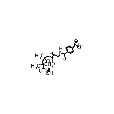 CC(C)(CNCCNC(=O)c1ccc([N+](=O)[O-])cc1)CC(C)(C)C(=O)NO